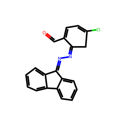 O=CC1=CC=C(Cl)CC1=NN=C1c2ccccc2-c2ccccc21